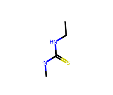 CCNC(=S)[N]C